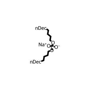 CCCCCCCCCCCCCCOP(=O)([O-])OCCCCCCCCCCCCCC.[Na+]